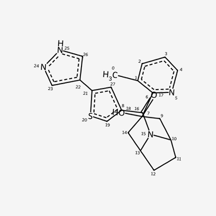 Cc1cccnc1C1(O)CC2CCC(C1)N2C(=O)c1csc(-c2cn[nH]c2)c1